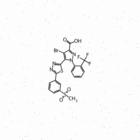 CS(=O)(=O)c1cccc(-c2nnc(-c3c(Br)c(C(=O)O)nn3-c3ccccc3C(F)(F)F)s2)c1